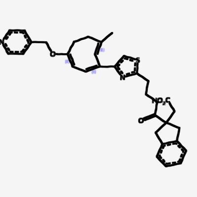 C\C1=C/C(c2csc(CCCC(=O)C3(CC(=O)O)Cc4ccccc4C3)n2)=C\C=C(\OCc2ccncc2)CC1